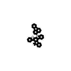 CC1(C)c2ccccc2-c2c1c1c3ccccc3oc1c1c2c2ccccc2n1-c1ccc2c3c(cccc13)-c1ccccc1-2